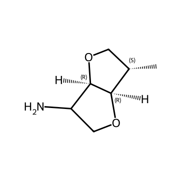 C[C@H]1CO[C@@H]2C(N)CO[C@@H]21